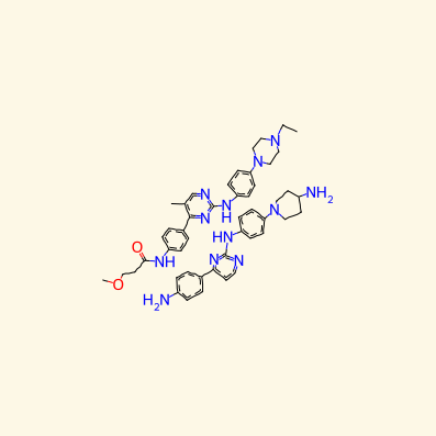 CCN1CCN(c2ccc(Nc3ncc(C)c(-c4ccc(NC(=O)CCOC)cc4)n3)cc2)CC1.Nc1ccc(-c2ccnc(Nc3ccc(N4CCC(N)CC4)cc3)n2)cc1